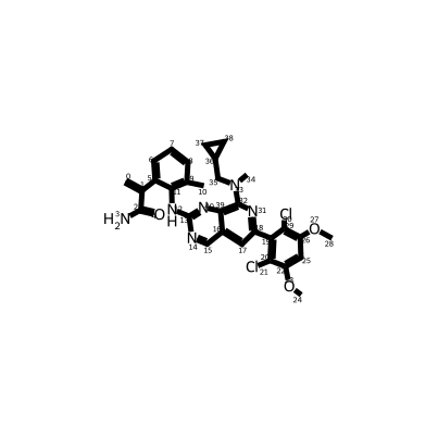 C=C(C(N)=O)c1cccc(C)c1Nc1ncc2cc(-c3c(Cl)c(OC)cc(OC)c3Cl)nc(N(C)CC3CC3)c2n1